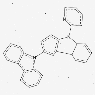 C1=CC2c3cc(-n4c5ccccc5c5ccccc54)ccc3N(c3ccccn3)C2C=C1